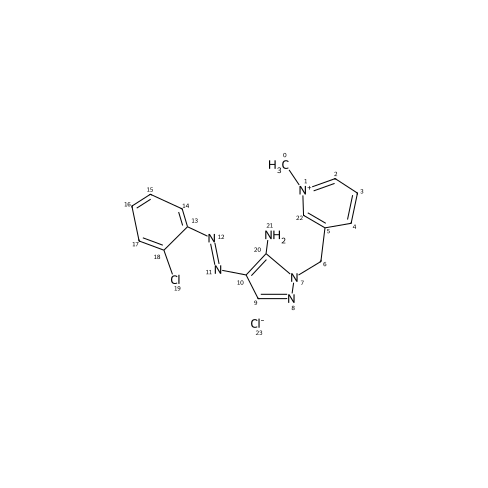 C[n+]1cccc(Cn2ncc(N=Nc3ccccc3Cl)c2N)c1.[Cl-]